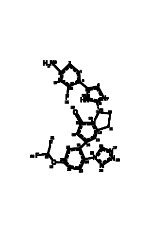 Nc1ccc(-c2cnc([C@@H]3CCc4cc(-c5cc(OC(F)F)ccc5-n5cnnn5)cc(=O)n43)[nH]2)c(F)n1